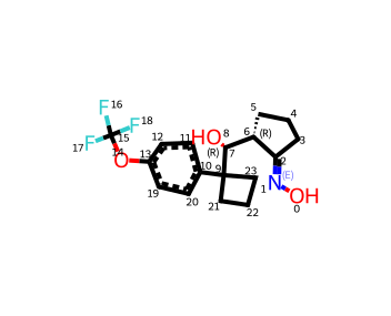 O/N=C1\CCC[C@H]1[C@@H](O)C1(c2ccc(OC(F)(F)F)cc2)CCC1